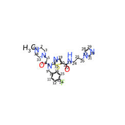 CN1CCN(CC(=O)N(Cc2ccc(F)cc2)c2ncc(C(=O)NCCCn3ccnc3)s2)CC1